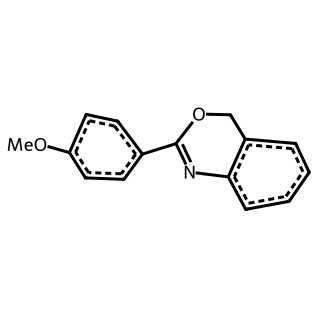 COc1ccc(C2=Nc3ccccc3CO2)cc1